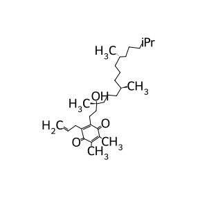 C=CCC1=C(CC[C@](C)(O)CCC[C@H](C)CCC[C@H](C)CCCC(C)C)C(=O)C(C)=C(C)C1=O